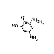 Nc1cc(O)[n+]([O-])c(N)n1.O